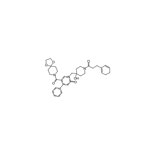 O=C(CCC1=CCCC=C1)N1CCC(O)(Cn2cc(C(=O)N3CCC4(CC3)OCCO4)c(-c3ccccc3)cc2=O)CC1